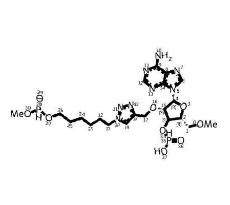 COC[C@H]1O[C@@H](n2cnc3c(N)ncnc32)[C@@H](OCc2cn(CCCCCCO[PH](=O)OC)nn2)C1O[PH](=O)O